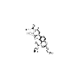 CCCC(=O)OC(C)CC(c1ccc(OC(=O)OCC(C)(C)C)c(OC(=O)OCC(C)(C)C)c1)[C@H](N)C(=O)O